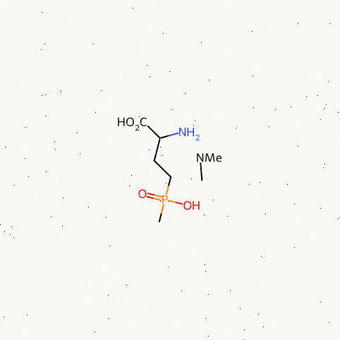 CNC.CP(=O)(O)CCC(N)C(=O)O